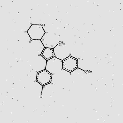 COc1ccc(-n2c(-c3ccc(F)cc3)cc(C3CNCCO3)c2C)cc1